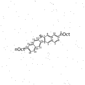 CCCCCCCCc1ccc2cc3c(cc2c1)sc1cc2cc(CCCCCCCC)ccc2cc13